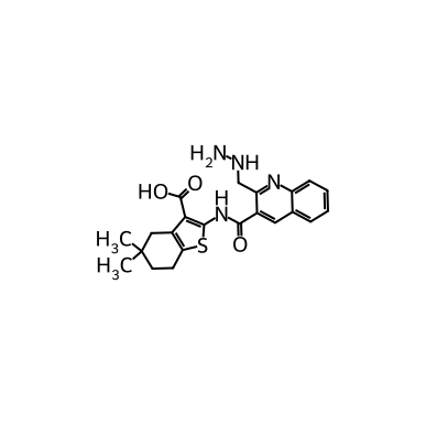 CC1(C)CCc2sc(NC(=O)c3cc4ccccc4nc3CNN)c(C(=O)O)c2C1